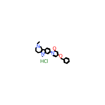 CCN1CCCc2c(c3ccc(-n4ccc(OCc5ccccc5)cc4=O)cc3n2C)C1.Cl